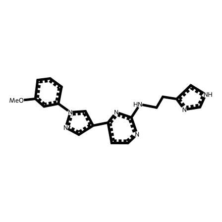 COc1cccc(-n2cc(-c3ccnc(NCCc4c[nH]cn4)n3)cn2)c1